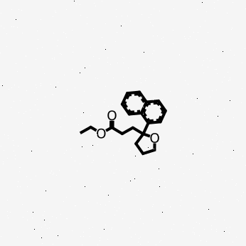 CCOC(=O)CCC1(c2cccc3ccccc23)CCCO1